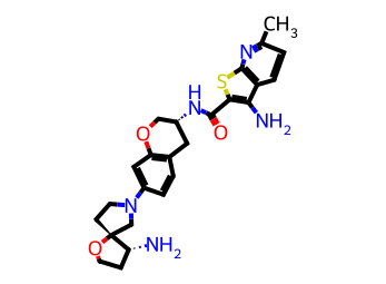 Cc1ccc2c(N)c(C(=O)N[C@H]3COc4cc(N5CC[C@]6(C5)OCC[C@H]6N)ccc4C3)sc2n1